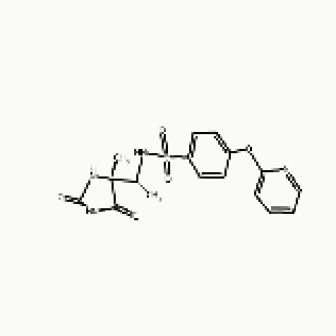 C[C@@H](NS(=O)(=O)c1ccc(Oc2ccccn2)cc1)[C@@]1(C)NC(=O)NC1=O